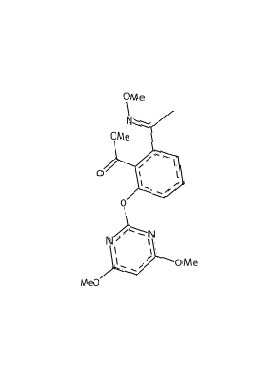 CON=C(C)c1cccc(Oc2nc(OC)cc(OC)n2)c1C(=O)OC